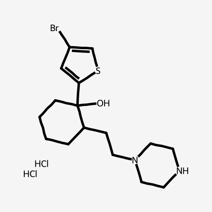 Cl.Cl.OC1(c2cc(Br)cs2)CCCCC1CCN1CCNCC1